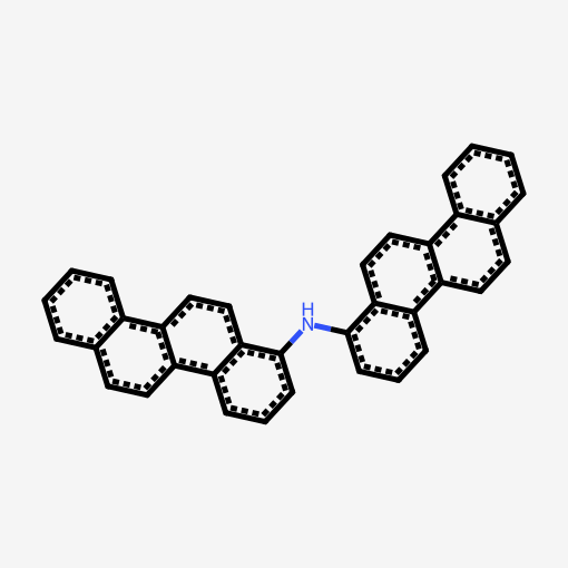 c1ccc2c(c1)ccc1c3cccc(Nc4cccc5c4ccc4c6ccccc6ccc54)c3ccc21